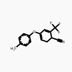 Cc1ccc(OC2=CCC(C#N)C(C(F)(F)F)=C2)cc1